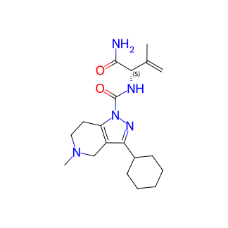 C=C(C)[C@H](NC(=O)n1nc(C2CCCCC2)c2c1CCN(C)C2)C(N)=O